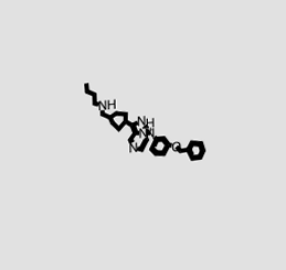 CCCCNCC1CCC(C2=C3C=NC=C[N+]3(Nc3cccc(OCc4ccccc4)c3)C=N2)CC1